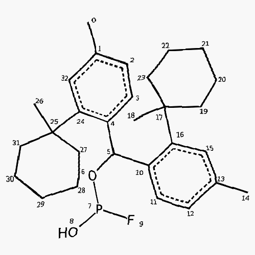 Cc1ccc(C(OP(O)F)c2ccc(C)cc2C2(C)CCCCC2)c(C2(C)CCCCC2)c1